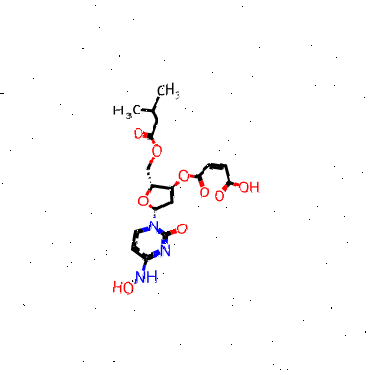 CC(C)CC(=O)OC[C@H]1O[C@@H](n2ccc(NO)nc2=O)C[C@@H]1OC(=O)/C=C\C(=O)O